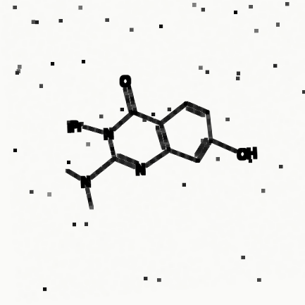 CC(C)n1c(N(C)C)nc2cc(O)ccc2c1=O